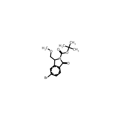 COCC1c2cc(Br)ccc2C(=O)N1C(=O)OC(C)(C)C